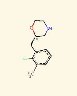 Fc1c(C[C@@H]2CNCCO2)cccc1C(F)(F)F